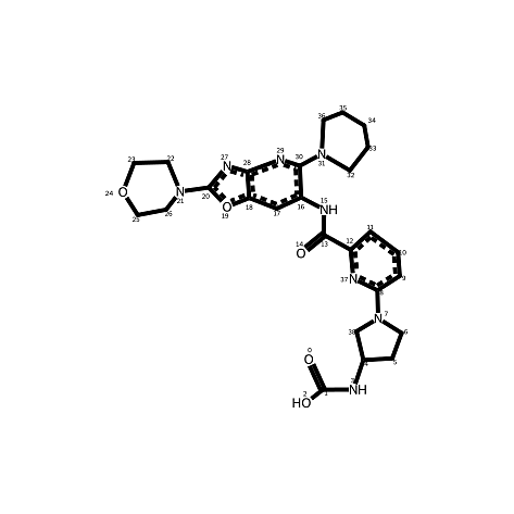 O=C(O)NC1CCN(c2cccc(C(=O)Nc3cc4oc(N5CCOCC5)nc4nc3N3CCCCC3)n2)C1